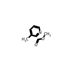 COC=O.Cc1cccnc1